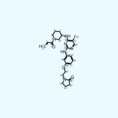 C=CC(=O)N1CCC[C@@H](Nc2nc(Nc3cccc(OCCN4CCCC4=O)c3)ncc2F)C1